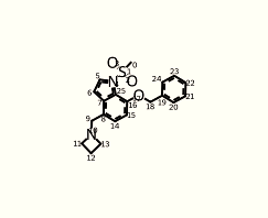 CS(=O)(=O)n1ccc2c(CN3CCC3)ccc(OCc3ccccc3)c21